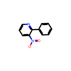 O=[N+]([O-])c1cccnc1-c1ccccc1